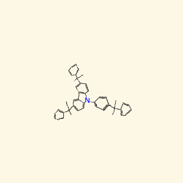 CC(C)(c1ccccc1)c1ccc(-n2c3ccc(C(C)(C)c4ccccc4)cc3c3cc(C(C)(C)c4ccccc4)ccc32)cc1